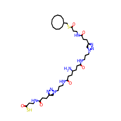 NC(CCC(=O)NCCCn1cc(CCC(=O)NCCC(=O)S)nn1)CCC(=O)NCCCn1cc(CCC(=O)NCCC(=O)SCC2CCCCCCCCCC2)nn1